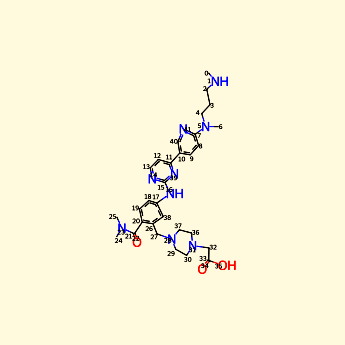 CNCCCN(C)c1ccc(-c2ccnc(Nc3ccc(C(=O)N(C)C)c(CN4CCN(CC(=O)O)CC4)c3)n2)cn1